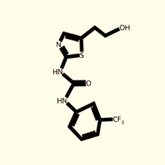 O=C(Nc1cccc(C(F)(F)F)c1)Nc1ncc(CCO)s1